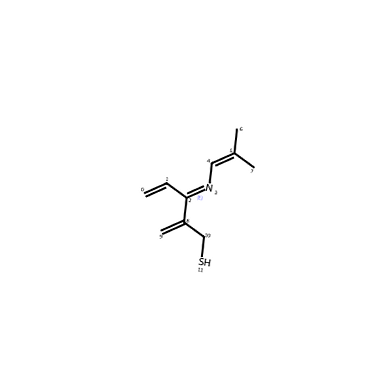 C=C/C(=N\C=C(C)C)C(=C)CS